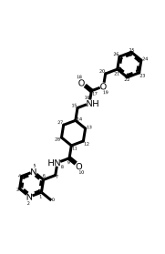 Cc1nccnc1CNC(=O)C1CCC(CNC(=O)OCc2ccccc2)CC1